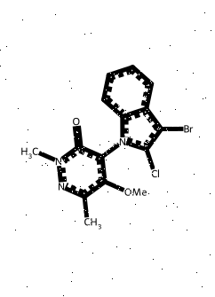 COc1c(C)nn(C)c(=O)c1-n1c(Cl)c(Br)c2ccccc21